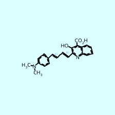 CN(C)c1ccc(/C=C/C=C/c2nc3ccccc3c(C(=O)O)c2O)cc1